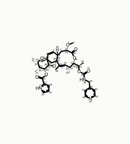 CO[C@H]1C[C@H]2C=C[C@]3(C)C[C@]2(O[C@H]3[C@H](OC(=O)c2ccc[nH]2)[C@H](C)[C@H](C)O)/C(C)=C/[C@@H](C)[C@@H]([C@@H](C)OC(=O)NCc2ccncc2)OC1=O